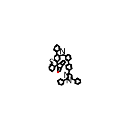 c1ccc(-c2cc(-c3ccc(-c4cccc(-c5nc6ccccc6c6cc7c(cc56)C5(c6ccccc6S7)c6ccccc6-c6ccccc65)c4)cc3)nc(-c3ccccc3)n2)cc1